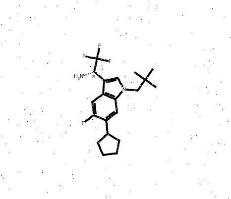 CC(C)(C)Cn1cc([C@H](N)C(F)(F)F)c2cc(F)c(C3CCCC3)cc21